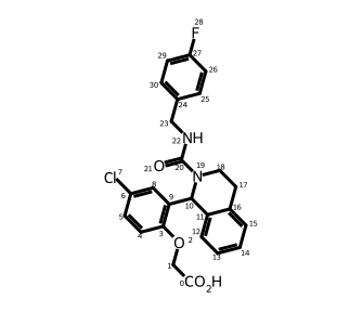 O=C(O)COc1ccc(Cl)cc1C1c2ccccc2CCN1C(=O)NCc1ccc(F)cc1